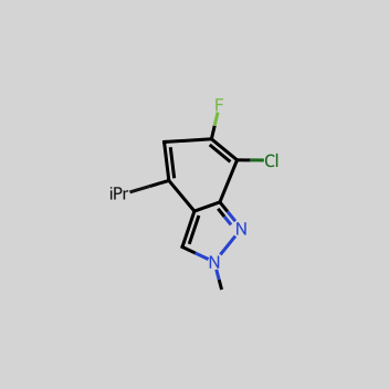 CC(C)c1cc(F)c(Cl)c2nn(C)cc12